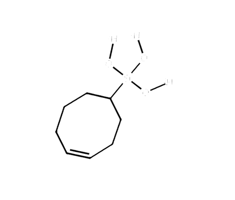 [3H]O[Si](O[3H])(O[3H])C1CC/C=C\CCC1